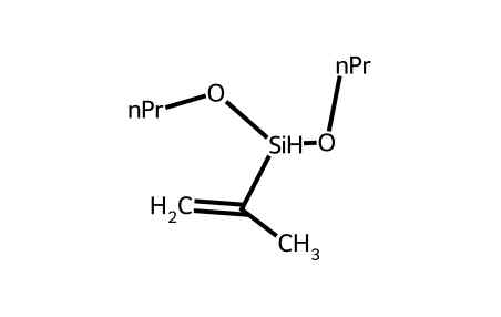 C=C(C)[SiH](OCCC)OCCC